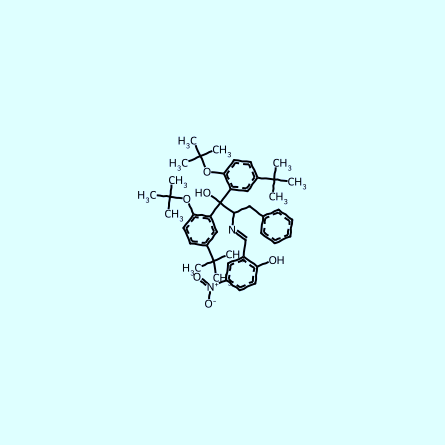 CC(C)(C)Oc1ccc(C(C)(C)C)cc1C(O)(c1cc(C(C)(C)C)ccc1OC(C)(C)C)C(Cc1ccccc1)N=Cc1cc([N+](=O)[O-])ccc1O